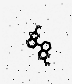 CC(C)c1ncc2c(n1)CCCC2c1ccnc2oc(C(C)C)nc12